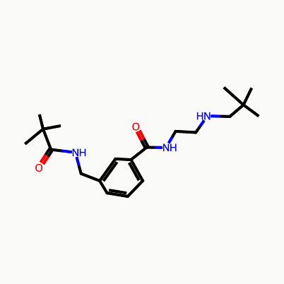 CC(C)(C)CNCCNC(=O)c1cccc(CNC(=O)C(C)(C)C)c1